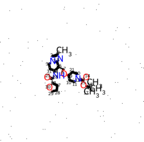 Cc1cn2c(n1)[C@@H](COC1CCN(C(=O)OC(C)(C)C)CC1)[C@@H](NC(=O)[C@@H]1CCCO1)CC2